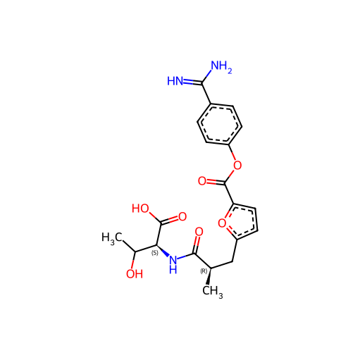 CC(O)[C@H](NC(=O)[C@H](C)Cc1ccc(C(=O)Oc2ccc(C(=N)N)cc2)o1)C(=O)O